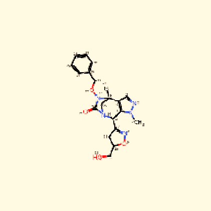 Cn1ncc2c1[C@@H](C1=NOC(CO)C1)N1C[C@@H]2N(OCc2ccccc2)C1=O